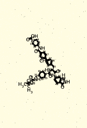 Cc1cc(C(=O)NC2CCN(C(=O)O)CC2)ccc1-c1ccc(C[C@H](NC(=O)[C@H]2CC[C@H](CNC(=O)OC(C)(C)C)CC2)C(=O)Nc2ccc3c(=O)[nH][nH]c3c2)cc1